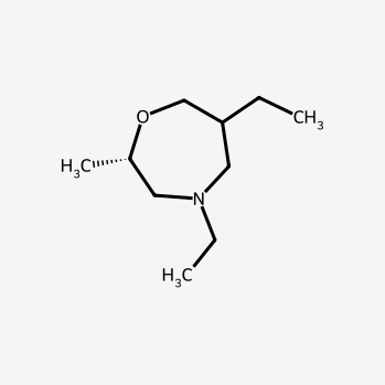 CCC1CO[C@@H](C)CN(CC)C1